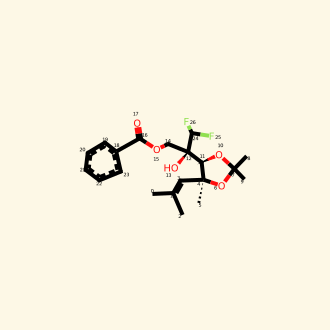 CC(C)=C[C@]1(C)OC(C)(C)O[C@@H]1[C@](O)(COC(=O)c1ccccc1)C(F)F